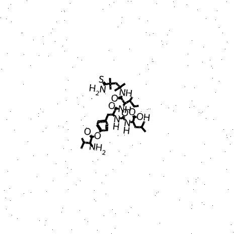 CCC(C)C(NC(=O)C(Cc1ccc(OC(=O)C(N)C(C)C)cc1)NC(=O)NC(CC(C)C)C(=O)O)C(=O)NC(C)(C)CC(C)(C)C(N)=S